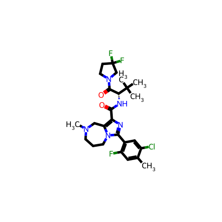 Cc1cc(F)c(-c2nc(C(=O)N[C@H](C(=O)N3CCC(F)(F)C3)C(C)(C)C)c3n2CCCN(C)C3)cc1Cl